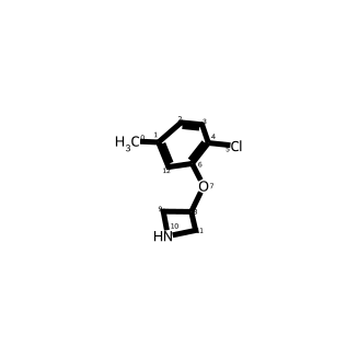 Cc1ccc(Cl)c(OC2CNC2)c1